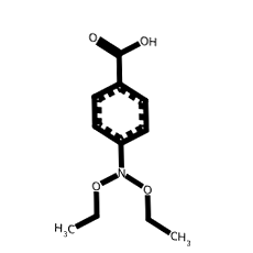 CCON(OCC)c1ccc(C(=O)O)cc1